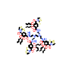 CCCCOc1c(C(=O)NCCN(CCNC(=O)c2ccc(C(=O)N3CCSC3=S)c(OCCCC)c2OCCCC)CCN(CCNC(=O)c2ccc(C(=O)N3CCSC3=S)c(OCCCC)c2OCCCC)CCNC(=O)c2ccc(C(=O)N3CCSC3=S)c(OCCCC)c2OCCCC)ccc(C(=O)N2CCSC2=S)c1OCCCC